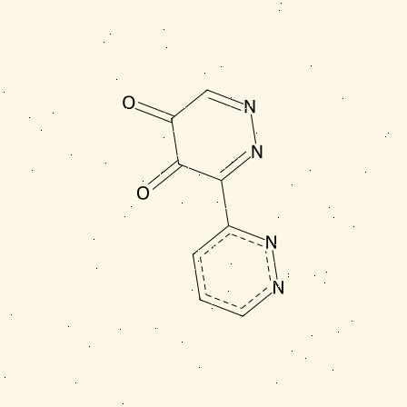 O=C1C=NN=C(c2cccnn2)C1=O